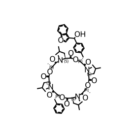 CC(C)C[C@H]1C(=O)O[C@H](Cc2ccc(C(O)c3coc4ccccc34)cc2)C(=O)N(C)[C@@H](CC(C)C)C(=O)O[C@H](C)C(=O)N(C)[C@@H](CC(C)C)C(=O)O[C@H](Cc2ccccc2)C(=O)N(C)[C@@H](CC(C)C)C(=O)O[C@H](C)C(=O)N1C